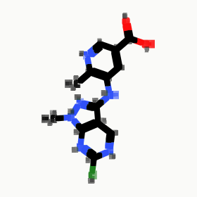 Cc1ncc(C(=O)O)cc1Nc1nn(C)c2nc(Cl)ncc12